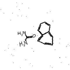 NC(N)=O.c1ccc2ccccc2c1